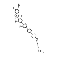 CCCCCCOC1CCC(c2ccc(-c3ccc(-c4cc(F)c(C(F)(F)Oc5ccc(C#N)c(F)c5)c(F)c4)c(F)c3)cc2)CC1